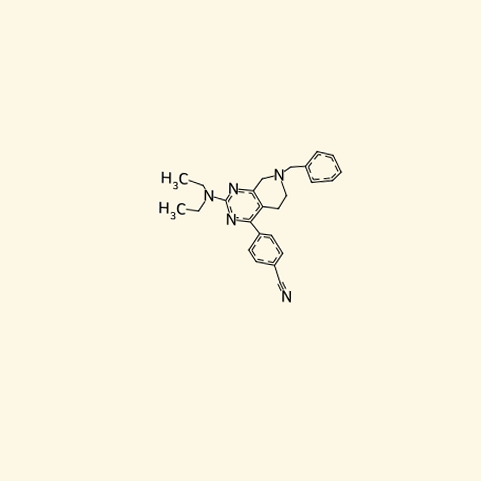 CCN(CC)c1nc2c(c(-c3ccc(C#N)cc3)n1)CCN(Cc1ccccc1)C2